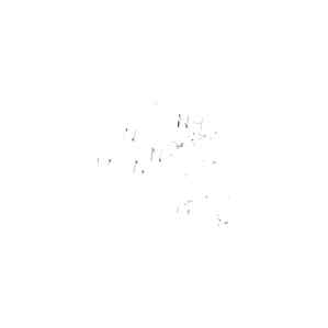 CCn1c(OC)nnc1[C@@H](C)NS(=O)(=O)c1ccc2c(c1)OCCO2